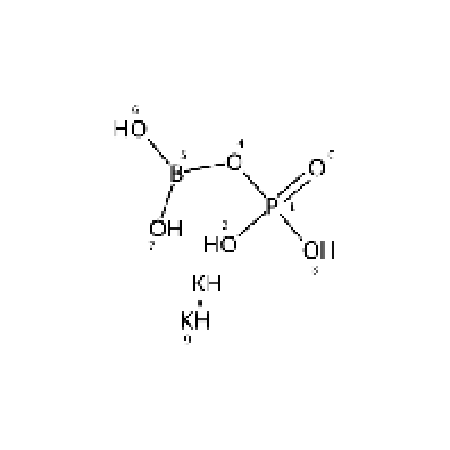 O=P(O)(O)OB(O)O.[KH].[KH]